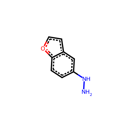 NNc1ccc2occc2c1